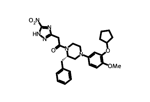 COc1ccc(N2CCN(C(=O)Cc3n[nH]c([N+](=O)[O-])n3)[C@@H](Cc3ccccc3)C2)cc1OC1CCCC1